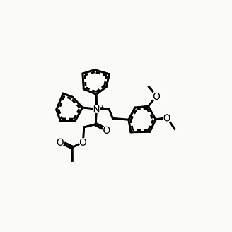 COc1ccc(CC[N+](C(=O)COC(C)=O)(c2ccccc2)c2ccccc2)cc1OC